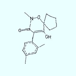 Cc1ccc(C2=C(O)C3(CCCC3)ON(C)C2=O)c(C)c1